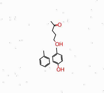 CC(=O)CCCO.Cc1ccc(O)cc1.Cc1ccccc1